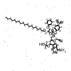 CCCCCCCCCCCCCCCCCCOC[C@H](COc1ccccc1)OP(=O)(OC[C@H](C[C@@H](OC(C)(C)O)c1ccc2c(N)ncnn12)OCC#N)Oc1ccc([N+](=O)[O-])cc1